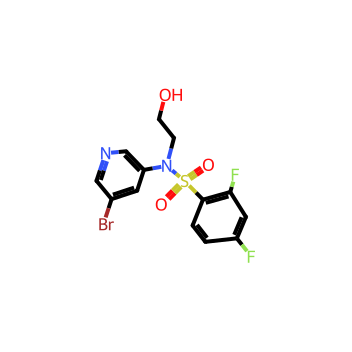 O=S(=O)(c1ccc(F)cc1F)N(CCO)c1cncc(Br)c1